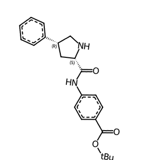 CC(C)(C)OC(=O)c1ccc(NC(=O)[C@@H]2C[C@H](c3ccccc3)CN2)cc1